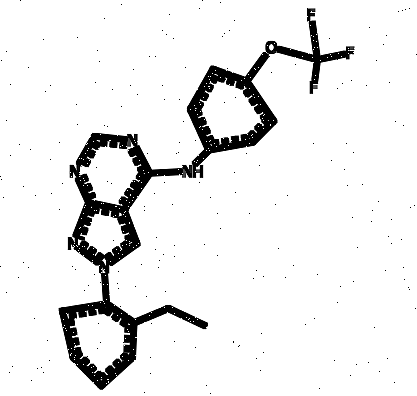 CCc1ccccc1-n1cc2c(Nc3ccc(OC(F)(F)F)cc3)ncnc2n1